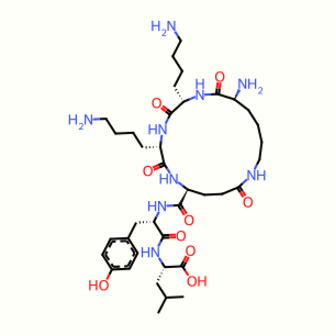 CC(C)C[C@H](NC(=O)[C@H](Cc1ccc(O)cc1)NC(=O)[C@@H]1CCC(=O)NCCCC[C@H](N)C(=O)N[C@@H](CCCCN)C(=O)N[C@@H](CCCCN)C(=O)N1)C(=O)O